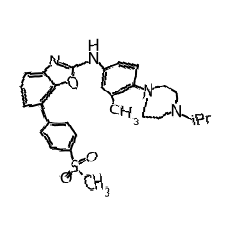 Cc1cc(Nc2nc3cccc(-c4ccc(S(C)(=O)=O)cc4)c3o2)ccc1N1CCN(C(C)C)CC1